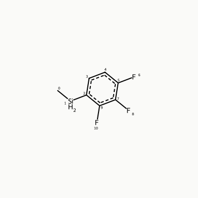 C[SiH2]c1ccc(F)c(F)c1F